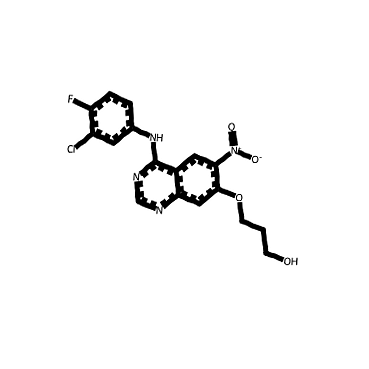 O=[N+]([O-])c1cc2c(Nc3ccc(F)c(Cl)c3)ncnc2cc1OCCCO